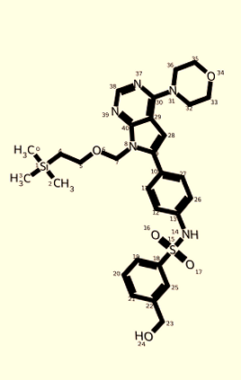 C[Si](C)(C)CCOCn1c(-c2ccc(NS(=O)(=O)c3cccc(CO)c3)cc2)cc2c(N3CCOCC3)ncnc21